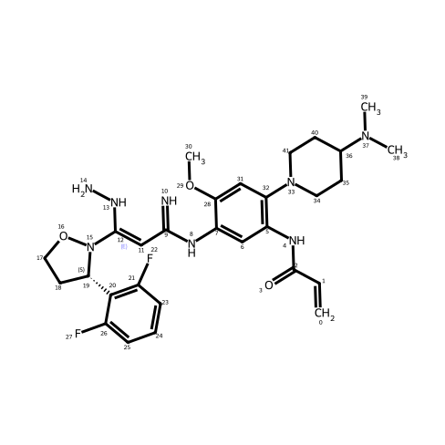 C=CC(=O)Nc1cc(NC(=N)/C=C(\NN)N2OCC[C@H]2c2c(F)cccc2F)c(OC)cc1N1CCC(N(C)C)CC1